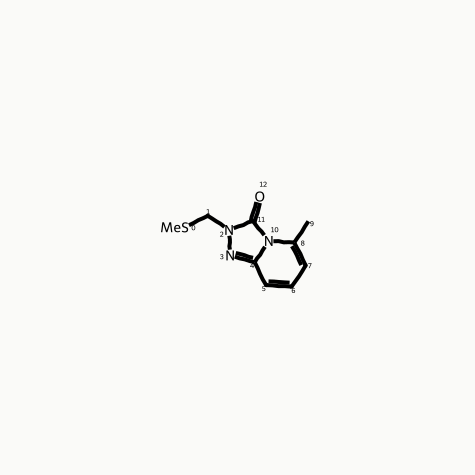 CSCn1nc2cccc(C)n2c1=O